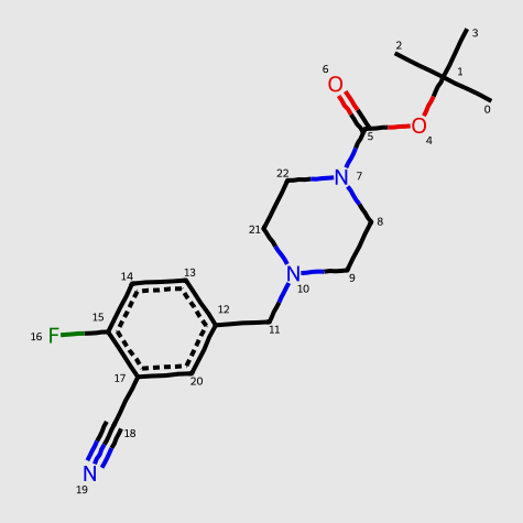 CC(C)(C)OC(=O)N1CCN(Cc2ccc(F)c(C#N)c2)CC1